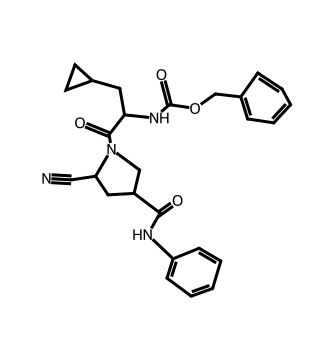 N#CC1CC(C(=O)Nc2ccccc2)CN1C(=O)C(CC1CC1)NC(=O)OCc1ccccc1